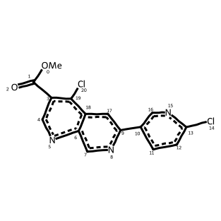 COC(=O)c1cnc2cnc(-c3ccc(Cl)nc3)cc2c1Cl